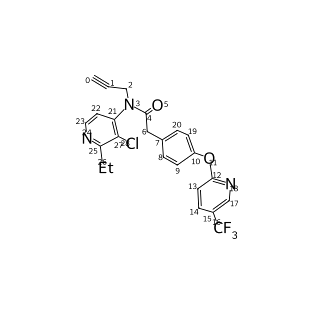 C#CCN(C(=O)Cc1ccc(Oc2ccc(C(F)(F)F)cn2)cc1)c1ccnc(CC)c1Cl